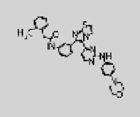 Cc1ccccc1CC(=O)Nc1cccc(-c2nc3sccn3c2-c2ccnc(Nc3ccc(N4CCOCC4)cc3)n2)c1